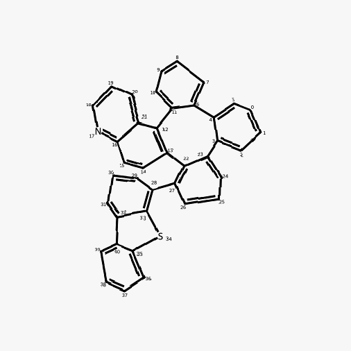 c1ccc2c(c1)-c1ccccc1-c1c(ccc3ncccc13)-c1c-2cccc1-c1cccc2c1sc1ccccc12